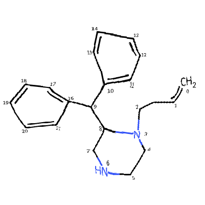 C=CCN1CCNCC1C(c1ccccc1)c1ccccc1